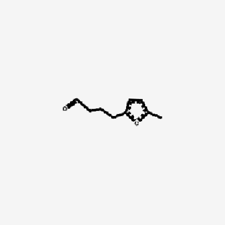 Cc1ccc(CCCC=O)o1